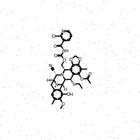 CCS[C@@H]1c2c(OC(C)=O)c(C)c3c(c2[C@H](COC(=O)NC(=O)c2cccnc2Cl)N2C1[C@@H]1c4c(cc(C)c(OC)c4O)C[C@H]([C@@H]2C#N)N1C)OCO3